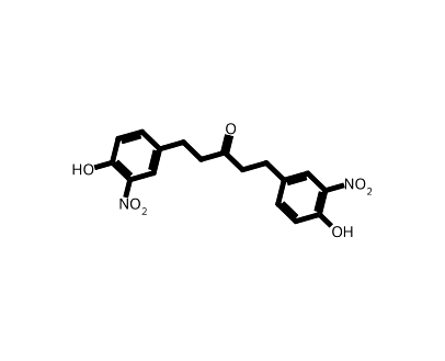 O=C(CCc1ccc(O)c([N+](=O)[O-])c1)CCc1ccc(O)c([N+](=O)[O-])c1